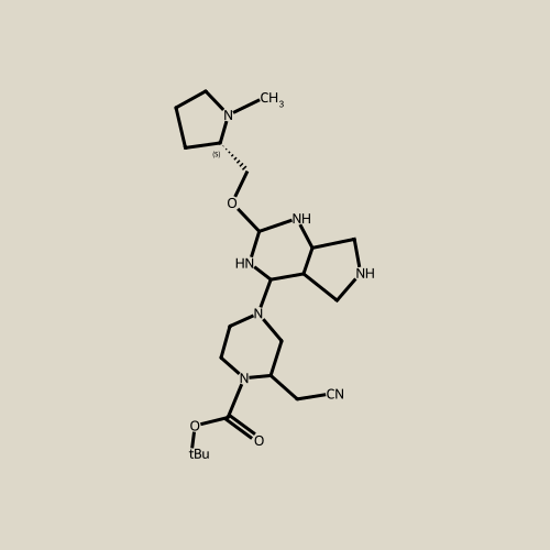 CN1CCC[C@H]1COC1NC2CNCC2C(N2CCN(C(=O)OC(C)(C)C)C(CC#N)C2)N1